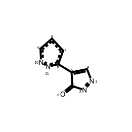 O=C1N=NC=C1c1cccnn1